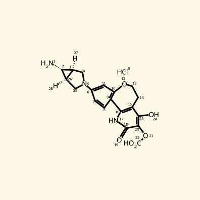 Cl.N[C@@H]1[C@H]2CN(c3ccc4c(c3)OCCc3c-4[nH]c(=O)c(OC(=O)O)c3O)C[C@@H]12